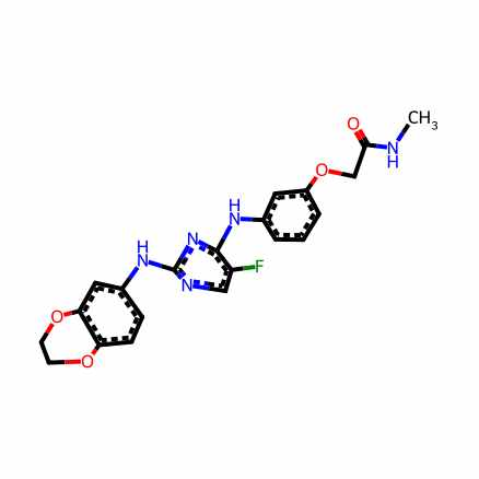 CNC(=O)COc1cccc(Nc2nc(Nc3ccc4c(c3)OCCO4)ncc2F)c1